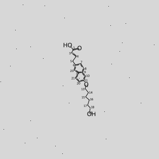 O=C(O)C=CCc1ccc2cc(OCCCCCCO)ccc2c1